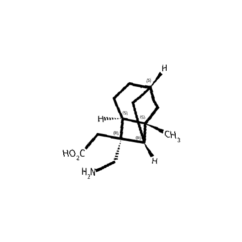 C[C@]12C[C@H]3CC[C@@H]1[C@](CN)(CC(=O)O)[C@@H]2C3